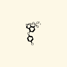 O=S(=O)(c1ccc(Oc2ccc(Cl)cc2)c2cn[nH]c12)C(F)(F)F